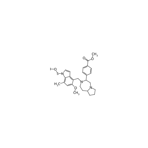 COC(=O)c1ccc(C2CN3CCCC3CCN2Cc2c(OC)cc(C)c3c2ccn3SOI)cc1